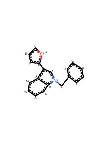 c1ccc(Cn2cc(-c3ccco3)c3ccccc32)cc1